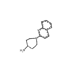 NC1CCN(c2ccc3ccccc3n2)CC1